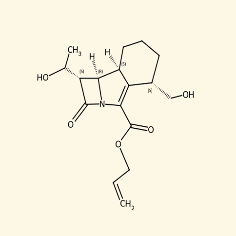 C=CCOC(=O)C1=C2[C@@H](CO)CCC[C@@H]2[C@@H]2[C@@H](C(C)O)C(=O)N12